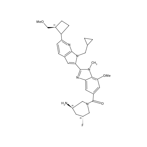 COC[C@H]1CCC1c1ccc2cc(-c3nc4cc(C(=O)N5C[C@H](N)C[C@@H](F)C5)cc(OC)c4n3C)n(CC3CC3)c2n1